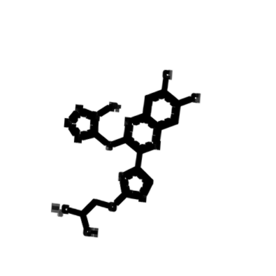 CC(O)COc1ncc(-c2nc3cc(Cl)c(Cl)cc3nc2Sc2nnnn2C(C)C)s1